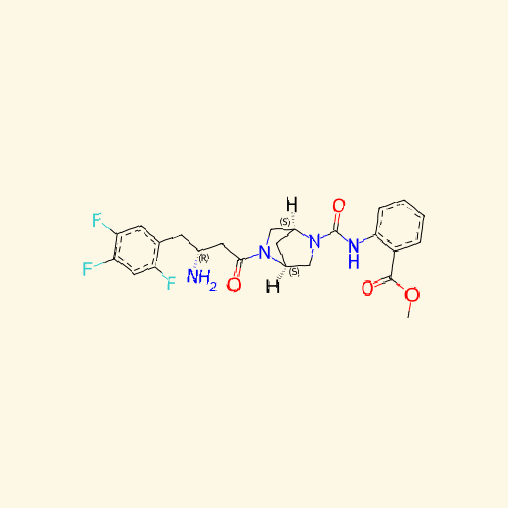 COC(=O)c1ccccc1NC(=O)N1C[C@@H]2C[C@H]1CN2C(=O)C[C@H](N)Cc1cc(F)c(F)cc1F